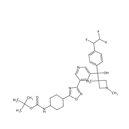 CN1CC(C)(C(O)(c2ccc(C(F)C(F)F)cc2)c2cncc(-c3noc(C4CCC(NC(=O)OC(C)(C)C)CC4)n3)c2)C1